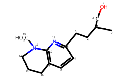 CC(CO)CCc1ccc2c(n1)N(C(=O)O)CCC2